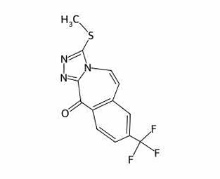 CSc1nnc2c(=O)c3ccc(C(F)(F)F)cc3ccn12